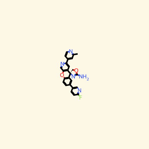 Cc1cc(-c2cc3c(cn2)Oc2ccc(-c4ccc(F)nc4)cc2[C@@]32COC(N)=N2)ccn1